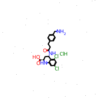 Cl.NCc1ccc(CCC(=O)N[C@H]2C[C@H](C(=O)O)Nc3cc(Cl)cc(Cl)c32)cc1